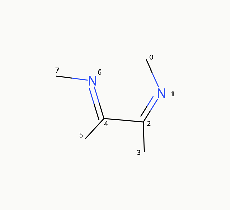 CN=C(C)C(C)=NC